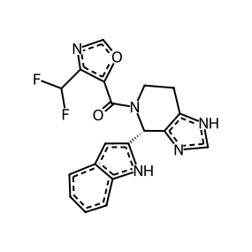 O=C(c1ocnc1C(F)F)N1CCc2[nH]cnc2[C@@H]1c1cc2ccccc2[nH]1